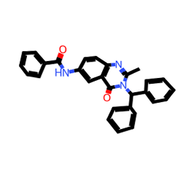 Cc1nc2ccc(NC(=O)c3ccccc3)cc2c(=O)n1C(c1ccccc1)c1ccccc1